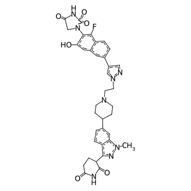 Cn1nc(C2CCC(=O)NC2=O)c2ccc(C3CCN(CCn4cc(-c5ccc6c(F)c(N7CC(=O)NS7(=O)=O)c(O)cc6c5)cn4)CC3)cc21